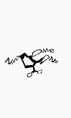 COc1cc(OC)c(OC)c(C(=O)Cl)c1